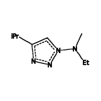 CCN(C)n1cc(C(C)C)nn1